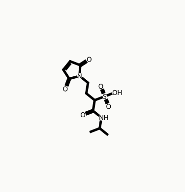 CC(C)NC(=O)C(CCN1C(=O)C=CC1=O)S(=O)(=O)O